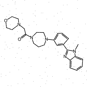 Cn1c(-c2cccc(N3CCCN(C(=O)CN4CCOCC4)CC3)c2)nc2ccccc21